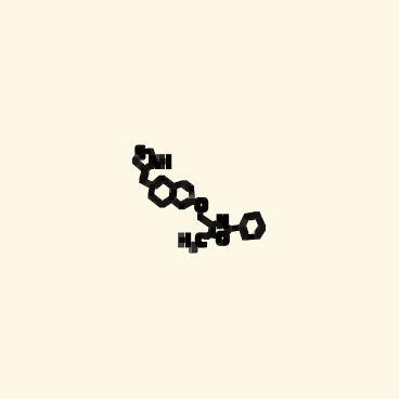 Cc1oc(-c2ccccc2)nc1COc1ccc2c(c1)CCC(C=C1CSCN1)=C2